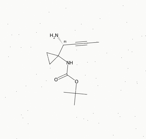 CC#C[C@@H](N)C1(NC(=O)OC(C)(C)C)CC1